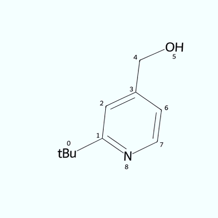 CC(C)(C)c1cc(CO)ccn1